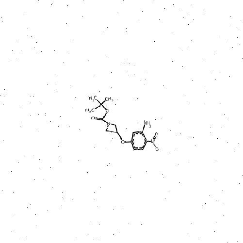 CC(C)(C)OC(=O)N1CC(Oc2ccc([N+](=O)[O-])c(N)c2)C1